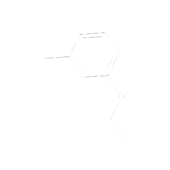 CCOc1[c]c(C)ccc1